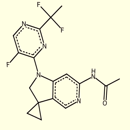 CC(=O)Nc1cc2c(cn1)C1(CC1)CN2c1nc(C(C)(F)F)ncc1F